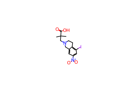 CC(C)(CN1CCc2c(I)cc([N+](=O)[O-])cc2C1)C(=O)O